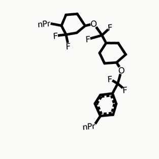 CCCc1ccc(C(F)(F)OC2CCC(C(F)(F)OC3CCC(CCC)C(F)(F)C3)CC2)cc1